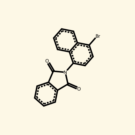 O=C1c2ccccc2C(=O)N1c1ccc(Br)c2ccccc12